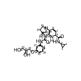 O=C(NC1CC1)C1C=CC2=C(N1)N(C(=O)Nc1cc(OC[C@@H](O)CO)ccn1)[C@H]1CCN2C1